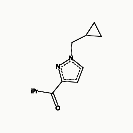 CC(C)C(=O)c1ccn(CC2CC2)n1